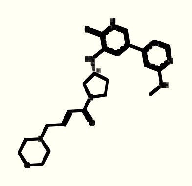 CNc1cc(-c2c[nH]c(=O)c(N[C@@H]3CCN(C(=O)C=CCN4CCOCC4)C3)c2)ccn1